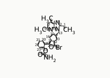 CCc1nc2c(C)cc(C)nc2n1Cc1ccc2c(-c3ccccc3OC(N)=O)oc(Br)c2c1